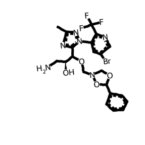 Cc1nc(C(OCN2COC(c3ccccc3)O2)[C@@H](O)CN)n(-c2cc(Br)cnc2C(F)(F)F)n1